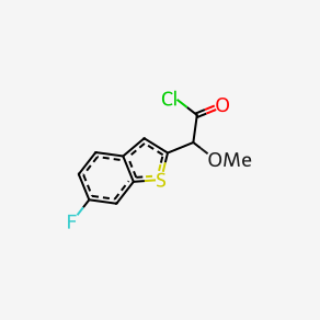 COC(C(=O)Cl)c1cc2ccc(F)cc2s1